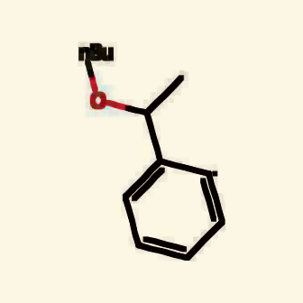 CCCCOC(C)c1[c]cccc1